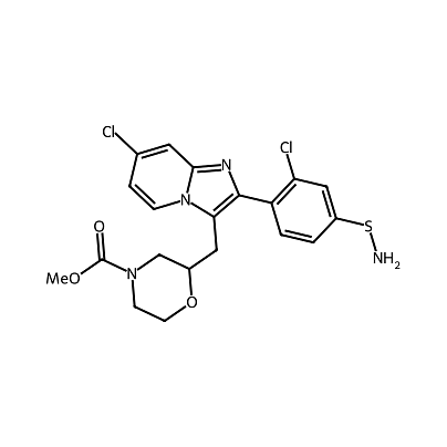 COC(=O)N1CCOC(Cc2c(-c3ccc(SN)cc3Cl)nc3cc(Cl)ccn23)C1